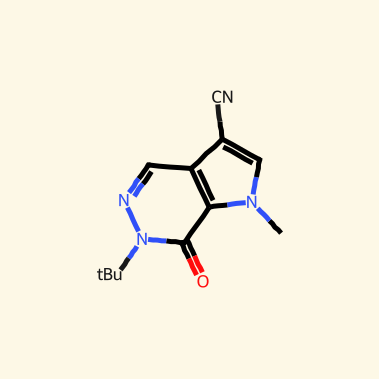 Cn1cc(C#N)c2cnn(C(C)(C)C)c(=O)c21